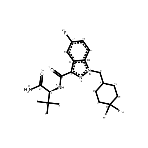 CC(C)(C)[C@H](NC(=O)c1nn(CC2CCC(F)(F)CC2)c2ccc(F)cc12)C(N)=O